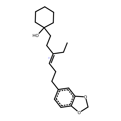 CC/C(=C\CCc1ccc2c(c1)OCO2)CCC1(O)CCCCC1